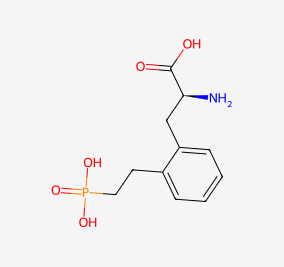 N[C@@H](Cc1ccccc1CCP(=O)(O)O)C(=O)O